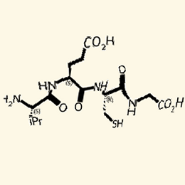 CC(C)[C@H](N)C(=O)N[C@@H](CCC(=O)O)C(=O)N[C@@H](CS)C(=O)NCC(=O)O